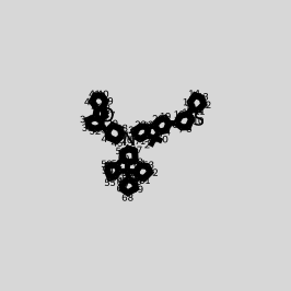 CC1(C)c2cc(-c3ccc4sc5ccccc5c4c3)ccc2-c2ccc(N(c3ccc(-c4cccc5c4oc4ccccc45)cc3)c3ccc4c(c3)-c3ccccc3C4(c3ccccc3)c3ccccc3)cc21